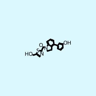 O=C(c1ncc(CO)s1)N1CCc2c(-c3cccc(O)c3)cccc21